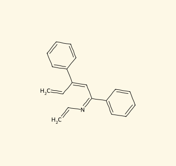 C=C/N=C(\C=C(/C=C)c1ccccc1)c1ccccc1